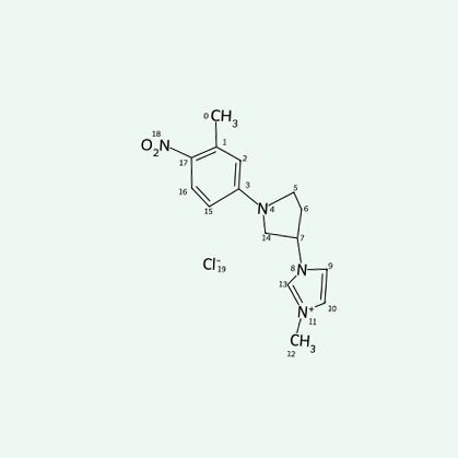 Cc1cc(N2CCC(n3cc[n+](C)c3)C2)ccc1[N+](=O)[O-].[Cl-]